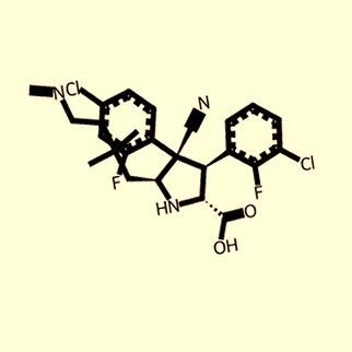 C=NCCC(C)(C)C[C@@H]1N[C@@H](C(=O)O)[C@H](c2cccc(Cl)c2F)[C@@]1(C#N)c1ccc(Cl)cc1F